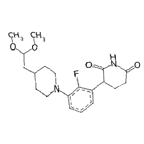 COC(CC1CCN(c2cccc(C3CCC(=O)NC3=O)c2F)CC1)OC